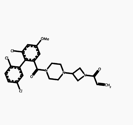 C=CC(=O)N1CC(N2CCN(C(=O)c3cc(OC)cc(Cl)c3-c3cc(Cl)ccc3Cl)CC2)C1